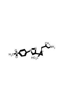 CC(CN)C[C@H]1CC1(C(=O)O)c1cn(-c2ccc(S(C)(=O)=O)cc2)cn1